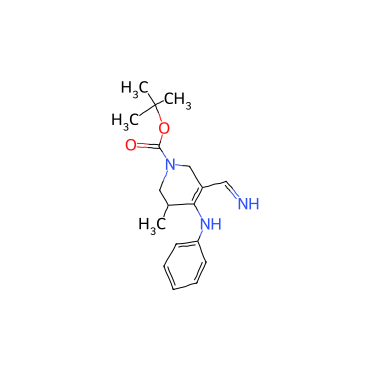 CC1CN(C(=O)OC(C)(C)C)CC(C=N)=C1Nc1ccccc1